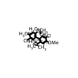 COc1cc([Si](C)(C)C)c(-c2cc(Cl)c(C)cc2[Si](C)(C)C)cc1Cl